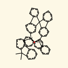 CC1(C)c2ccccc2-c2c(N(c3ccccc3)c3ccc4c(c3)C3(c5ccccc5-c5ccc(N(c6ccccc6)c6ccccc6)cc53)c3ccccc3-4)cccc21